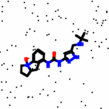 CC(C)(C)NCc1cc(NC(=O)Nc2cccc3c2CC2CCC[N+]32[O-])n[nH]1